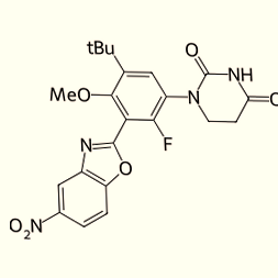 COc1c(C(C)(C)C)cc(N2CCC(=O)NC2=O)c(F)c1-c1nc2cc([N+](=O)[O-])ccc2o1